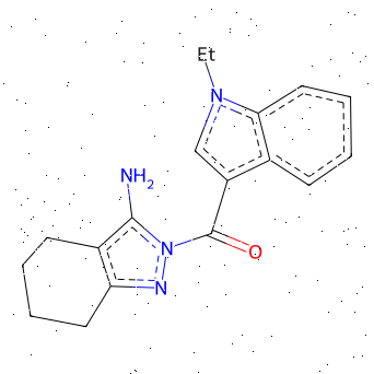 CCn1cc(C(=O)n2nc3c(c2N)CCCC3)c2ccccc21